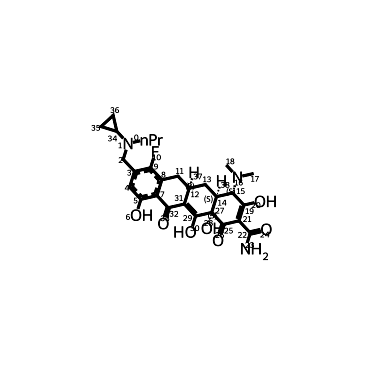 CCCN(Cc1cc(O)c2c(c1F)C[C@H]1C[C@H]3[C@H](N(C)C)C(O)=C(C(N)=O)C(=O)[C@@]3(O)C(O)=C1C2=O)C1CC1